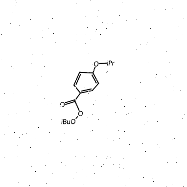 CC(C)[CH]OOC(=O)c1ccc(OC(C)C)cc1